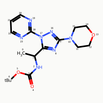 CC(NC(=O)OC(C)(C)C)c1nc(N2CCOCC2)nn1-c1ncccn1